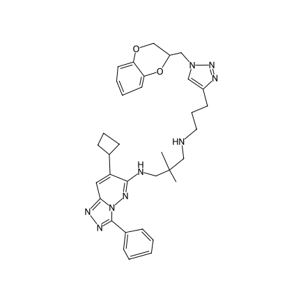 CC(C)(CNCCCc1cn(CC2COc3ccccc3O2)nn1)CNc1nn2c(-c3ccccc3)nnc2cc1C1CCC1